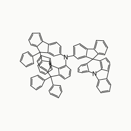 c1ccc(C2(c3ccccc3)c3ccccc3-c3ccc(N(c4ccc5c(c4)C4(c6ccccc6-5)c5ccccc5-n5c6ccccc6c6cccc4c65)c4cccc5c4-c4ccccc4C5(c4ccccc4)c4ccccc4)cc32)cc1